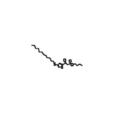 CCCCCCCCCCCCSc1csc(C(=O)CC(=O)OCCCC)c1